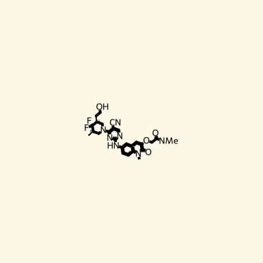 CNC(=O)COc1cc2cc(Nc3ncc(C#N)c(N4C[C@H](CCO)C(F)(F)[C@H](C)C4)n3)ccc2n(C)c1=O